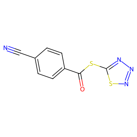 N#Cc1ccc(C(=O)Sc2nnns2)cc1